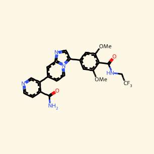 COc1cc(-c2cnc3cc(-c4cnccc4C(N)=O)ccn23)cc(OC)c1C(=O)NCC(F)(F)F